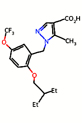 CCC(CC)COc1ccc(OC(F)(F)F)cc1Cn1ncc(C(=O)O)c1C